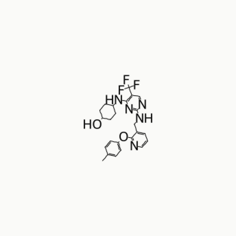 Cc1ccc(Oc2ncccc2CNc2ncc(C(F)(F)F)c(NC3CCC(O)CC3)n2)cc1